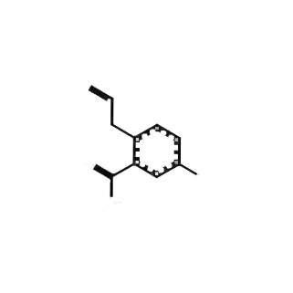 C=CCc1ccc(Cl)cc1C(=O)O